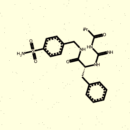 CC(C)C(=O)NC(=N)N[C@H](Cc1ccccc1)C(=O)NCc1ccc(S(N)(=O)=O)cc1